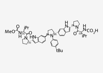 COC(=O)N[C@H](C(=O)N1CCC[C@H]1c1cc2ccc([C@H]3CC[C@H](c4ccc5cc([C@@H]6CCCN6C(=O)[C@@H](NC(=O)O)C(C)C)[nH]c5c4)N3c3ccc(C(C)(C)C)cc3)cc2[nH]1)C(C)C